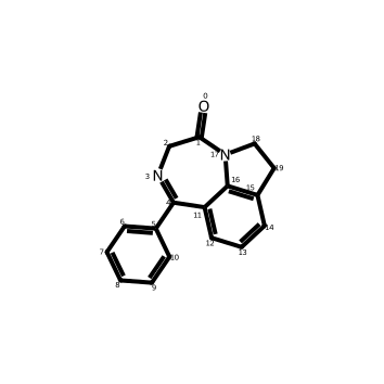 O=C1CN=C(c2ccccc2)c2cccc3c2N1CC3